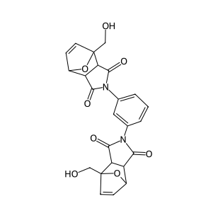 O=C1C2C3C=CC(CO)(O3)C2C(=O)N1c1cccc(N2C(=O)C3C4C=CC(CO)(O4)C3C2=O)c1